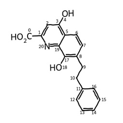 O=C(O)c1cc(O)c2ccc(CCc3ccccc3)c(O)c2n1